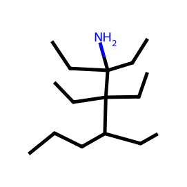 CCCC(CC)C(CC)(CC)C(N)(CC)CC